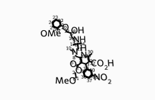 COCCOC(=O)C1=C(CN(C)CC(C)(C)NCC(O)COc2ccccc2OC)NC(C)=C(C(=O)O)C1c1cccc([N+](=O)[O-])c1